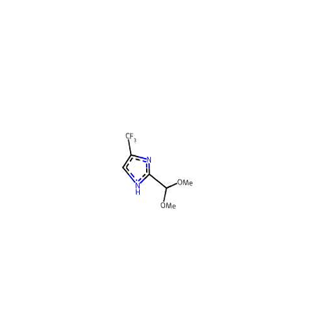 COC(OC)c1nc(C(F)(F)F)c[nH]1